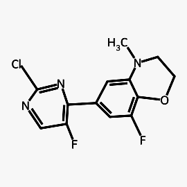 CN1CCOc2c(F)cc(-c3nc(Cl)ncc3F)cc21